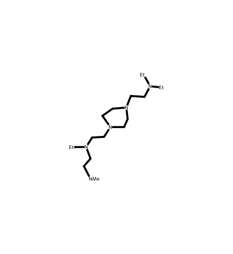 CCN(CC)CCN1CCN(CCN(CC)CCNC)CC1